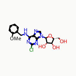 COc1ccccc1CNc1nc(Cl)nc2c1ncn2C1O[C@H](CO)[C@@H](O)[C@H]1O